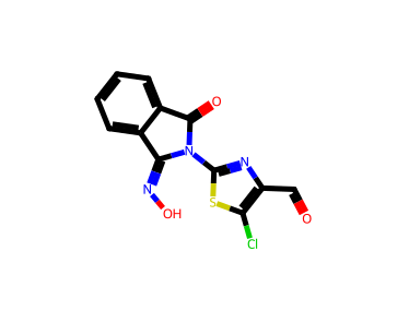 O=Cc1nc(N2C(=O)c3ccccc3C2=NO)sc1Cl